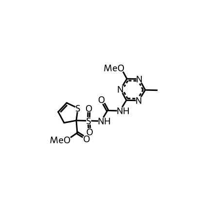 COC(=O)C1(S(=O)(=O)NC(=O)Nc2nc(C)nc(OC)n2)CC=CS1